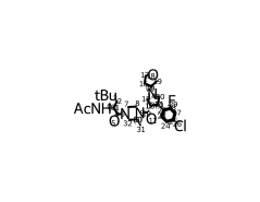 CC(=O)N[C@@H](CC(C)(C)C)C(=O)N1CCN(C(=O)[C@@H]2CN([C@H]3CCOC3)C[C@H]2c2ccc(Cl)cc2F)[C@@H](C)C1